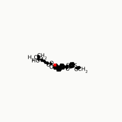 C=CC(=O)Sc1ccc(SC(=O)c2ccc3c(ccc4cc(OC(=O)OCCCCOC(O)C(=C)C)ccc43)c2)cc1